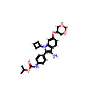 CC(C)OC(=O)Nc1ccc(-c2c(N)c3ccc(OC4COCOC4)cc3n2C2CCC2)cc1